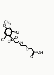 COc1cc(Cl)c(S(=O)(=O)CNCCOCC(=O)O)c(Cl)c1